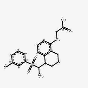 NC(C1CCCc2c(OCC(=O)O)cccc21)S(=O)(=O)c1cccc(Cl)c1